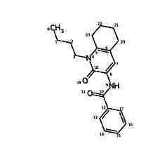 CCCCn1c2c(cc(NC(=O)c3ccccc3)c1=O)CCCC2